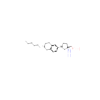 CCCCCC[C@@H]1CCc2cc([C@H]3CC[C@@](N)(CO)C3)ccc2C1